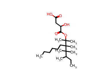 CCCCCCC(C)(C(C)(C)OC(=O)C(O)CC(=O)O)C(C)(C)C(C)CC